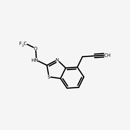 C#CCc1cccc2sc(NOC(F)(F)F)nc12